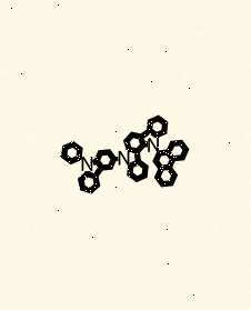 c1ccc(-n2c3ccccc3c3cc(-n4c5ccccc5c5c4ccc4c6ccccc6n(-c6cc7ccccc7c7ccccc67)c45)ccc32)cc1